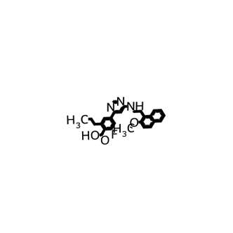 CCCc1cc(-c2cc(NCCc3c(OC)ccc4ccccc34)ncn2)cc(F)c1C(=O)O